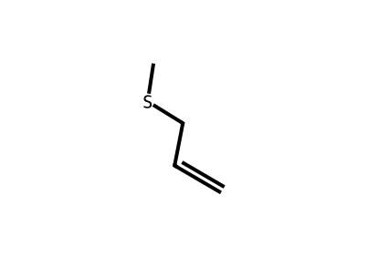 C=CCSC